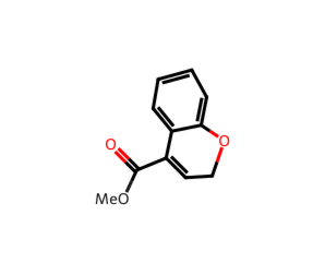 COC(=O)C1=CCOc2ccccc21